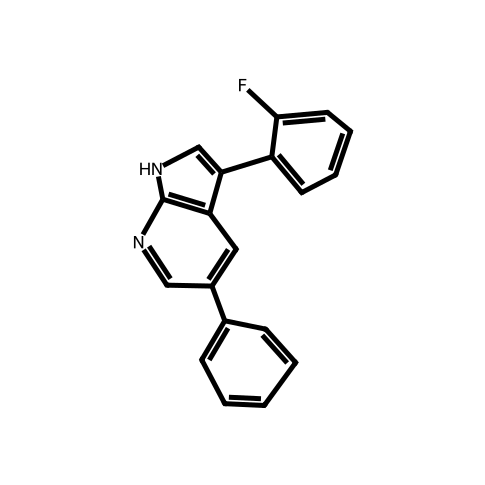 Fc1ccccc1-c1c[nH]c2ncc(-c3ccccc3)cc12